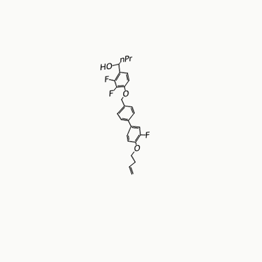 C=CCCOc1ccc(-c2ccc(COc3ccc(C(O)CCC)c(F)c3F)cc2)cc1F